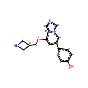 Oc1ccc(-c2cc(OCC3CNC3)c3cncn3c2)cc1